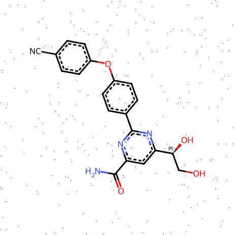 N#Cc1ccc(Oc2ccc(-c3nc(C(N)=O)cc([C@@H](O)CO)n3)cc2)cc1